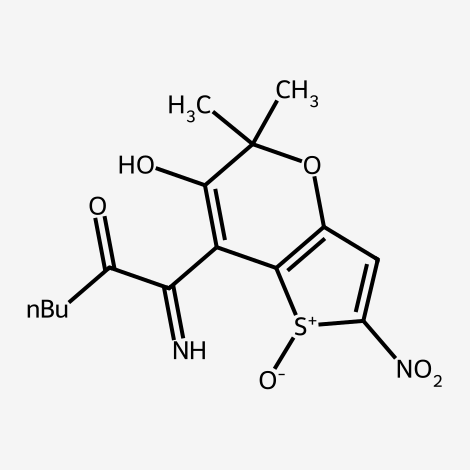 CCCCC(=O)C(=N)C1=C(O)C(C)(C)Oc2cc([N+](=O)[O-])[s+]([O-])c21